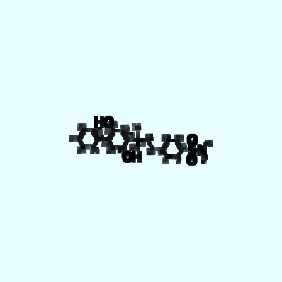 CN(C)S(=O)(=O)c1ccc(CCC(C)(C)c2cc(O)c(-c3ccccc3)cc2O)cc1